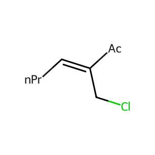 CCCC=C(CCl)C(C)=O